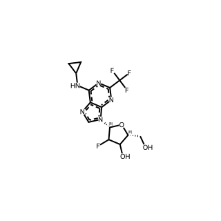 OC[C@H]1O[C@@H](n2cnc3c(NC4CC4)nc(C(F)(F)F)nc32)C(F)C1O